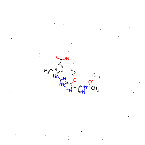 CCOC(C)n1cc(-c2ncn3nc(Nc4ccc(C(=O)O)cc4C)nc3c2OC2CCC2)cn1